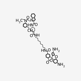 CCc1cccc(N(CC)C(=O)Cn2c(C(=O)N[C@H]3CC[C@H](C(=O)NCCCCCCCCNC(=O)c4ccc5c(c4)C4(OC5=O)c5ccc(N)cc5Oc5cc(N)ccc54)CC3)cc3ccccc32)c1